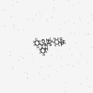 O=C(Nc1ncc(-c2ccc(C(F)(F)F)cc2)s1)C(c1ccccc1)c1ccccc1